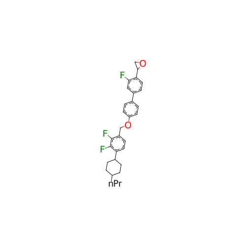 CCCC1CCC(c2ccc(COc3ccc(-c4ccc(C5CO5)c(F)c4)cc3)c(F)c2F)CC1